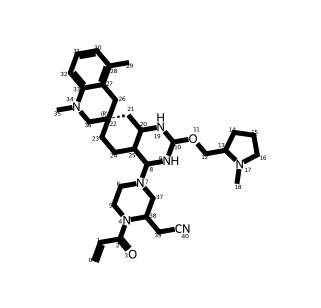 C=CC(=O)N1CCN(C2NC(OCC3CCCN3C)NC3C[C@@]4(CCC32)Cc2c(C)cccc2N(C)C4)CC1CC#N